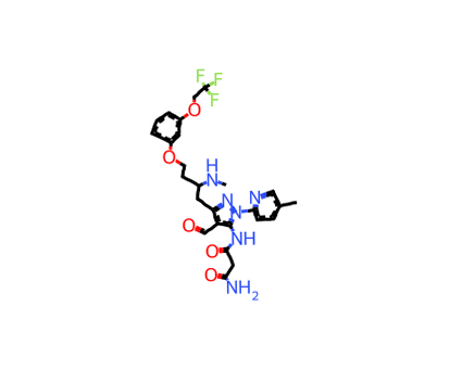 CNC(CCOc1cccc(OCC(F)(F)F)c1)Cc1nn(-c2ccc(C)cn2)c(NC(=O)CC(N)=O)c1C=O